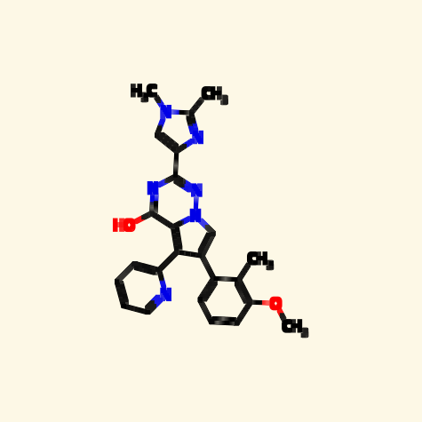 COc1cccc(-c2cn3nc(-c4cn(C)c(C)n4)nc(O)c3c2-c2ccccn2)c1C